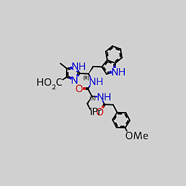 COc1ccc(CC(=O)N[C@@H](CC(C)C)C(=O)N[C@H](Cc2c[nH]c3ccccc23)c2nc(C(=O)O)c(C)[nH]2)cc1